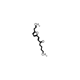 C=CCc1ccc(C=CC(=O)CCCCC)o1